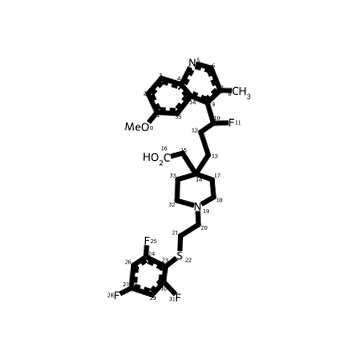 COc1ccc2ncc(C)c(C(F)CCC3(CC(=O)O)CCN(CCSc4c(F)cc(F)cc4F)CC3)c2c1